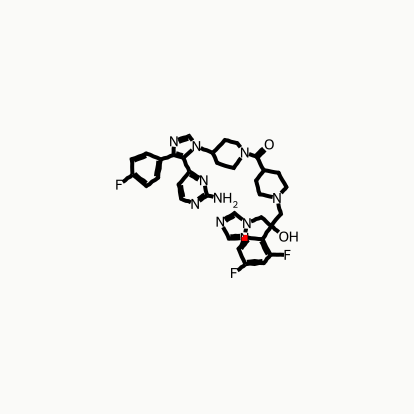 Nc1nccc(-c2c(-c3ccc(F)cc3)ncn2C2CCN(C(=O)C3CCN(CC(O)(Cn4cncn4)c4ccc(F)cc4F)CC3)CC2)n1